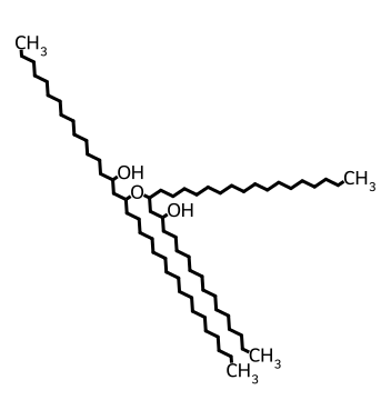 CCCCCCCCCCCCCCCCCC(CC(O)CCCCCCCCCCCCCC)OC(CCCCCCCCCCCCCCCCC)CC(O)CCCCCCCCCCCCCC